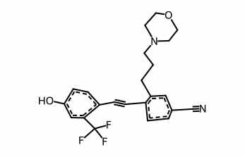 N#Cc1ccc(C#Cc2ccc(O)cc2C(F)(F)F)c(CCCN2CCOCC2)c1